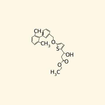 CCOC(=O)CC(O)c1ccc(OCc2cccc(-c3c(C)cccc3C)c2)s1